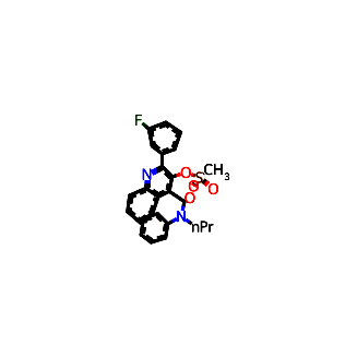 CCCN(C(=O)c1c(OS(C)(=O)=O)c(-c2cccc(F)c2)nc2ccccc12)c1ccccc1